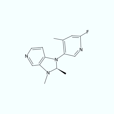 Cc1cc(F)ncc1N1c2ccncc2N(C)[C@@H]1C